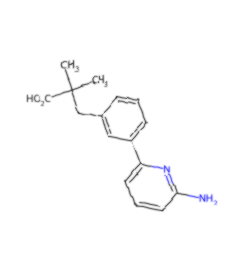 CC(C)(Cc1cccc(-c2cccc(N)n2)c1)C(=O)O